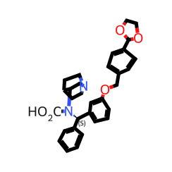 O=C(O)N(C1CN2CCC1CC2)[C@@H](c1ccccc1)c1cccc(OCc2ccc(C3OCCO3)cc2)c1